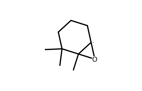 CC1(C)CCC[C]2OC21C